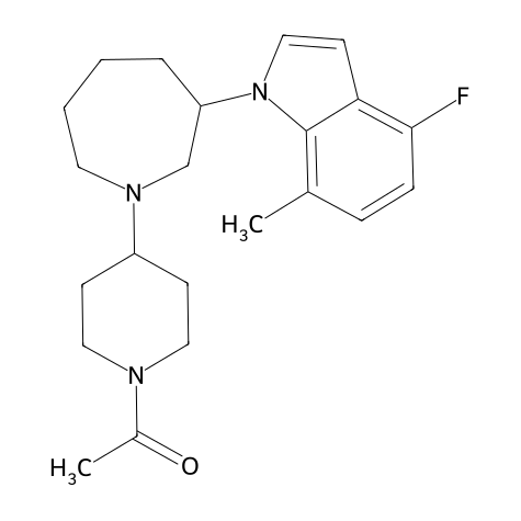 CC(=O)N1CCC(N2CCCCC(n3ccc4c(F)ccc(C)c43)C2)CC1